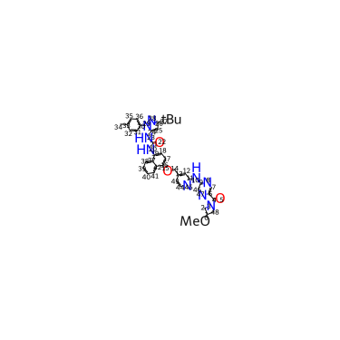 COC1CN(C(=O)c2cnc(Nc3cc(COc4ccc(NC(=O)Nc5cc(C(C)(C)C)nn5-c5ccc(C)cc5)c5ccccc45)ccn3)cn2)C1